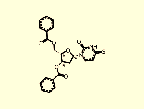 O=C(OC[C@@H]1O[C@H](n2ccc(=S)[nH]c2=O)C[C@H]1OC(=O)c1ccccc1)c1ccccc1